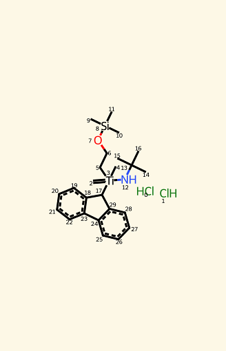 Cl.Cl.[CH2]=[Ti]([CH3])([CH2]CO[Si](C)(C)C)([NH]C(C)(C)C)[CH]1c2ccccc2-c2ccccc21